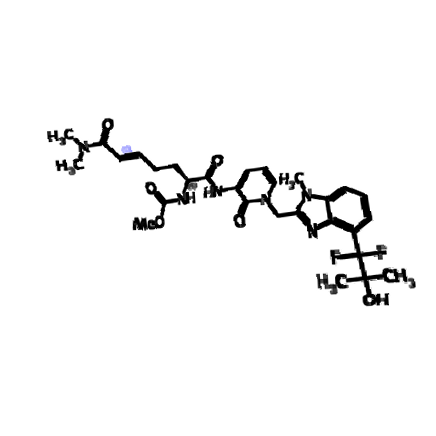 COC(=O)N[C@@H](CC/C=C/C(=O)N(C)C)C(=O)Nc1cccn(Cc2nc3c(C(F)(F)C(C)(C)O)cccc3n2C)c1=O